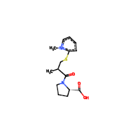 CC(CSc1cccc[n+]1C)C(=O)N1CCC[C@H]1C(=O)O